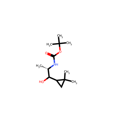 C[C@H](NC(=O)OC(C)(C)C)C(O)C1CC1(C)C